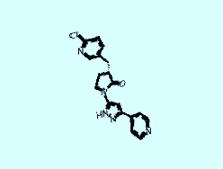 O=C1[C@@H](Cc2ccc(Cl)nc2)CCN1c1cc(-c2ccncc2)n[nH]1